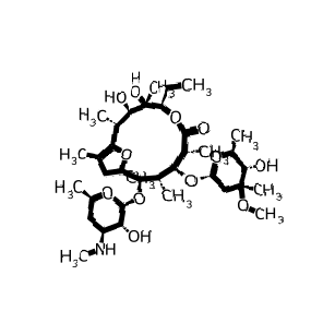 CC[C@H]1OC(=O)[C@H](C)[C@@H](O[C@H]2C[C@@](C)(OC)[C@@H](O)[C@H](C)O2)[C@H](C)[C@@H](O[C@@H]2O[C@H](C)C[C@H](NC)[C@H]2O)[C@@]2(C)CC(C)=C(O2)[C@H](C)[C@@H](O)[C@]1(C)O